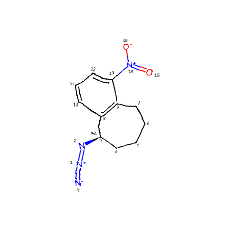 [N-]=[N+]=N[C@@H]1CCCCc2c1cccc2[N+](=O)[O-]